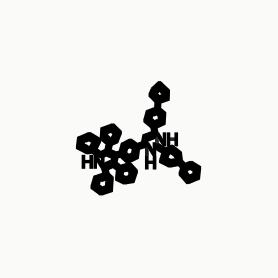 C1=C(c2ccc(-c3ccccc3)cc2)NC(c2ccc(-c3ccccc3)cc2)NC1c1ccc(C2=C(c3ccccc3)C(c3ccccc3)NC(c3ccccc3)=C2c2ccccc2)cc1